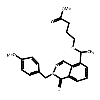 COC(=O)CCCOC(c1cccc2c(=O)n(Cc3ccc(OC)cc3)ncc12)C(F)(F)F